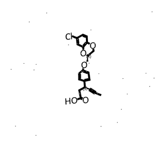 CC#C[C@@H](CC(=O)O)c1ccc(OC[C@@H]2COc3ccc(Cl)cc3O2)cc1